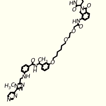 CC(NC(=O)c1cccc(NCc2nnc(-c3ccncn3)n2C)c1)c1cccc(OCCCCCCOCCOCC(=O)Nc2cccc3c2CN(C2CCC(=O)NC2=O)C3=O)c1